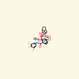 CC(C)(C)OC(=O)N1CCC[C@H]1C(=O)NC[C@]1(O)C2CCC1C[C@@H](S(=O)(=O)c1cc(C(=O)Nc3cc(F)c(F)c(F)c3)ccc1Cl)C2